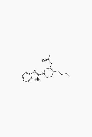 CCCCC1CCN(c2nc3ccccc3[nH]2)CC1CC(C)=O